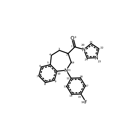 O=C(C1CCc2ccccc2N(c2ccc(F)cc2)C1)n1ccnc1